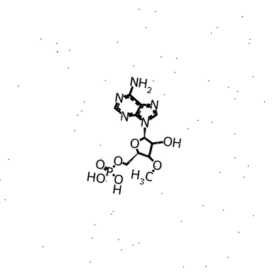 COC1C(O)[C@H](n2cnc3c(N)ncnc32)O[C@@H]1COP(=O)(O)O